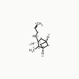 C=CCB[C@H]1C[C@H]2C[C@H](C2)C1C